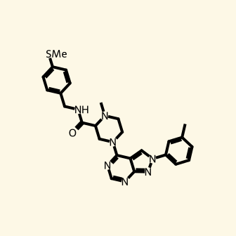 CSc1ccc(CNC(=O)C2CN(c3ncnc4nn(-c5cccc(C)c5)cc34)CCN2C)cc1